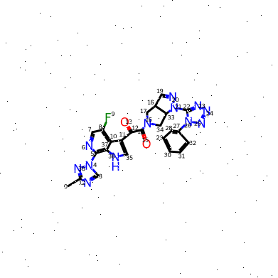 Cc1ncn(-c2ncc(F)c3c(C(=O)C(=O)N4CC5C=NN(c6nnnn6-c6ccccc6)C5C4)c[nH]c23)n1